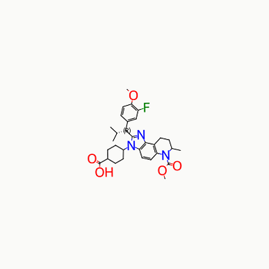 COC(=O)N1c2ccc3c(nc([C@@H](c4ccc(OC)c(F)c4)C(C)C)n3C3CCC(C(=O)O)CC3)c2CCC1C